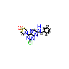 [O-][S+]1CCN(c2nc(Cl)nc3nc(NCc4ccccc4)cnc23)CC1